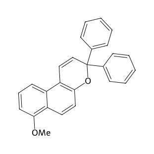 COc1cccc2c3c(ccc12)OC(c1ccccc1)(c1ccccc1)C=C3